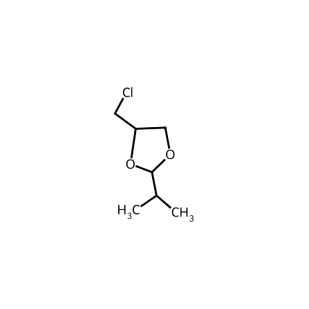 CC(C)C1OCC(CCl)O1